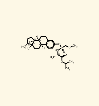 COCP(=O)(N[C@@H](C)C(=O)OC(C)C)Oc1ccc2c(c1)CC[C@H]1[C@H]3CC[C@H](O)[C@@]3(C)CC[C@@H]21